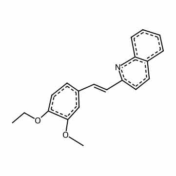 CCOc1ccc(C=Cc2ccc3ccccc3n2)cc1OC